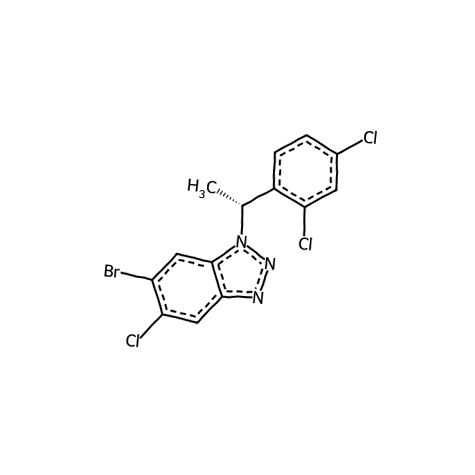 C[C@H](c1ccc(Cl)cc1Cl)n1nnc2cc(Cl)c(Br)cc21